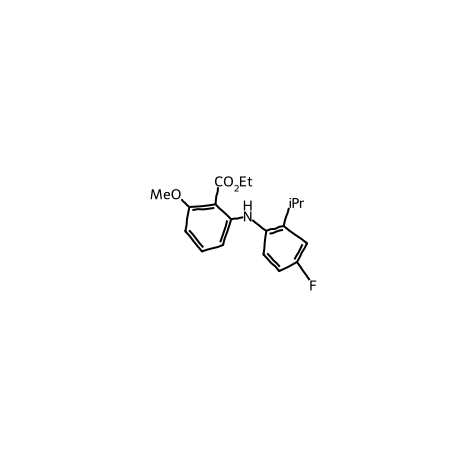 CCOC(=O)c1c(Nc2ccc(F)cc2C(C)C)cccc1OC